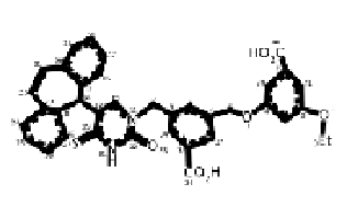 CCOc1cc(OCc2cc(Cn3cc(C4c5ccccc5C=Cc5ccccc54)c(=S)[nH]c3=O)cc(C(=O)O)c2)cc(C(=O)O)c1